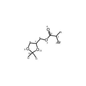 CC(Br)C(=O)OCC1COC(C)(C)O1